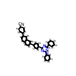 N#CC1C=CC(c2ccc3ccc(-c4ccc(C5=NC(c6ccccc6)NC(c6ccccc6)=N5)cc4)cc3c2)=CC1